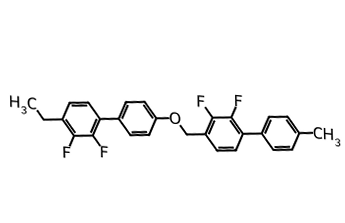 CCc1ccc(-c2ccc(OCc3ccc(-c4ccc(C)cc4)c(F)c3F)cc2)c(F)c1F